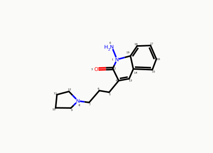 Nn1c(=O)c(CCCN2CCCC2)cc2ccccc21